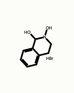 Br.OC1c2ccccc2CCN1O